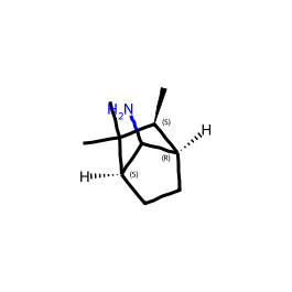 C[C@H]1[C@H]2CC[C@H](C2N)C1(C)C